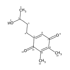 C[C](O)CCC1=CC(=O)C(C)=C(C)C1=O